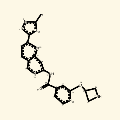 Cc1nnc(-c2ccc3cnc(NC(=O)c4ccnc(OC5CNC5)c4)cc3n2)s1